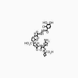 Nc1nc(/C(=N/OC2(C(=O)O)CCC2)C(=O)N[C@@H]2C(=O)N3C[C@@](C(=O)O)(N4CCN(NC(=O)C(=O)NCCNC(=O)c5ccc(O)c(O)c5Cl)C4=O)S[C@H]23)ns1